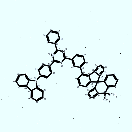 CC1(C)c2ccccc2C2(c3ccccc3-c3c(-c4cccc(-c5nc(-c6ccccc6)nc(-c6ccc(-n7c8ccccc8c8ccccc87)cc6)n5)c4)cccc32)c2ccccc21